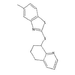 Cc1ccc2sc(SC3CCCc4cccnc43)nc2c1